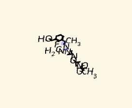 C=N/C(=N\C=C(/C)c1cccc(CO)c1F)N1CC(=NOC2CN(S(C)(=O)=O)C2)C1